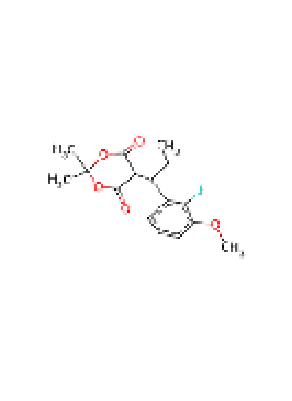 CCC(c1cccc(OC)c1F)C1C(=O)OC(C)(C)OC1=O